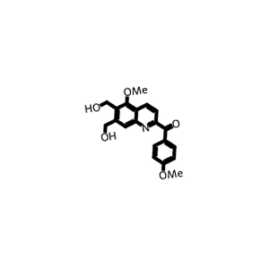 COc1ccc(C(=O)c2ccc3c(OC)c(CO)c(CO)cc3n2)cc1